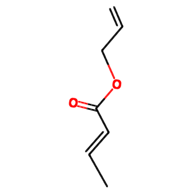 C=CCOC(=O)C=CC